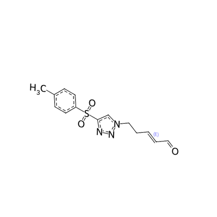 Cc1ccc(S(=O)(=O)c2cn(CC/C=C/C=O)nn2)cc1